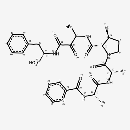 CCCC(NC(=O)[C@@H]1[C@@H](CC)CCN1C(=O)[C@@H](NC(=O)[C@@H](NC(=O)c1cnccn1)C(C)C)C(C)=O)C(=O)C(=O)N[C@@H](Cc1ccccc1)C(=O)O